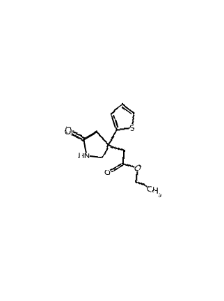 CCOC(=O)CC1(c2cccs2)CNC(=O)C1